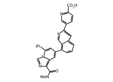 CNC(=O)c1ncn2c(C(C)C)cc(-c3cccc4cc(-c5ccc(C(=O)O)nc5)ncc34)cc12